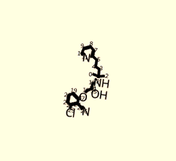 CC(C)(CCCc1ccccn1)NC[C@@H](O)COc1cccc(Cl)c1C#N